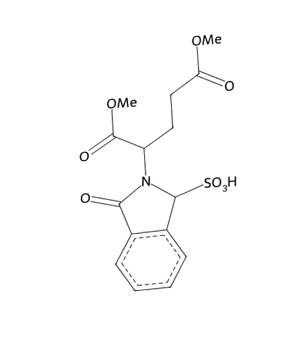 COC(=O)CCC(C(=O)OC)N1C(=O)c2ccccc2C1S(=O)(=O)O